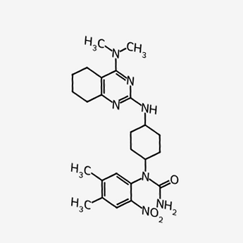 Cc1cc(N(C(N)=O)C2CCC(Nc3nc4c(c(N(C)C)n3)CCCC4)CC2)c([N+](=O)[O-])cc1C